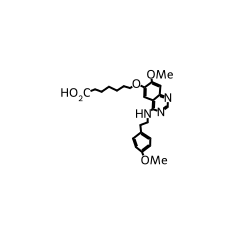 COc1ccc(CCNc2ncnc3cc(OC)c(OCCCCCCC(=O)O)cc23)cc1